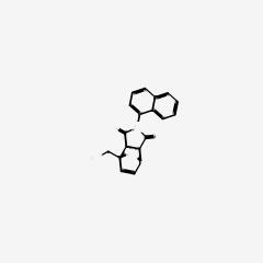 O=C1C2C3C=CC(CO)(O3)C2C(=O)N1c1cccc2ccccc12